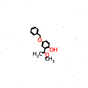 C=C(OC)c1cc(OCc2ccccc2)ccc1O